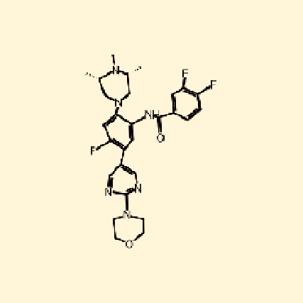 C[C@@H]1CN(c2cc(F)c(-c3cnc(N4CCOCC4)nc3)cc2NC(=O)c2ccc(F)c(F)c2)C[C@H](C)N1C